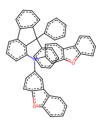 c1ccc(C2(c3ccccc3)c3ccccc3-c3cccc(N(c4ccc5c(c4)oc4ccccc45)c4ccc5oc6ccccc6c5c4)c32)cc1